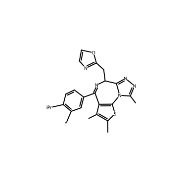 Cc1sc2c(c1C)C(c1ccc(C(C)C)c(F)c1)=NC(Cc1ncco1)c1nnc(C)n1-2